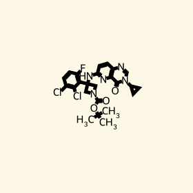 CC(C)(C)OC(=O)N1CC(Nc2ccc3ncn(C4CC4)c(=O)c3n2)(c2c(F)ccc(Cl)c2Cl)C1